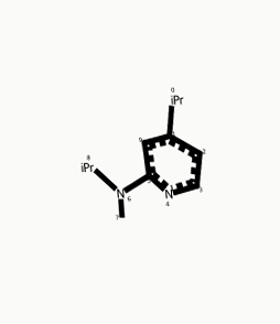 CC(C)c1ccnc(N(C)C(C)C)c1